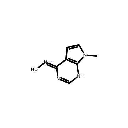 Cn1ccc2/c(=N/O)nc[nH]c21